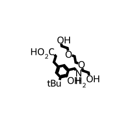 CC(C)(C)c1cc(CCC(=O)O)cc(CN)c1O.OCCOCCOCCO